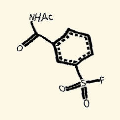 CC(=O)NC(=O)c1cccc(S(=O)(=O)F)c1